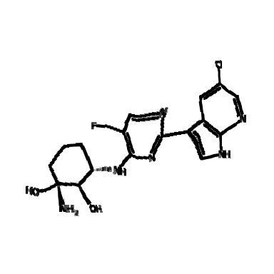 N[C@@]1(O)CCC[C@H](Nc2nc(-c3c[nH]c4ncc(Cl)cc34)ncc2F)[C@H]1O